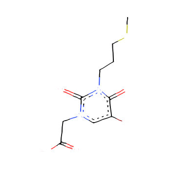 CSCCCn1c(=O)c(Br)cn(CC(=O)O)c1=O